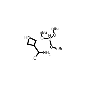 CC(N)C1CNC1.CCCCO[SiH](OCCCC)OCCCC